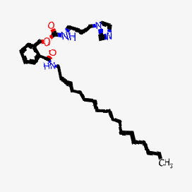 CCCCCCCCCCCCCCCCCCNC(=O)c1ccccc1COC(=O)NCCCn1ccnc1